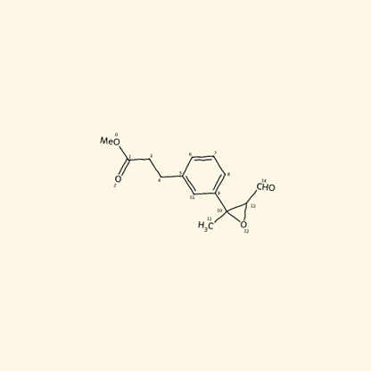 COC(=O)CCc1cccc(C2(C)OC2C=O)c1